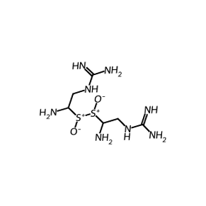 N=C(N)NCC(N)[S+]([O-])[S+]([O-])C(N)CNC(=N)N